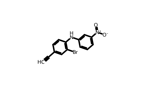 C#Cc1ccc(Nc2cccc([N+](=O)[O-])c2)c(Br)c1